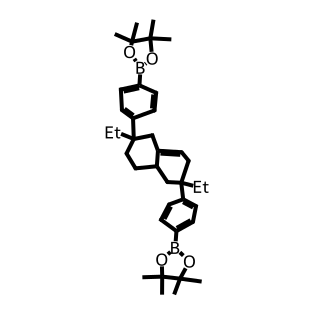 CCC1(c2ccc(B3OC(C)(C)C(C)(C)O3)cc2)CCC2CC(CC)(c3ccc(B4OC(C)(C)C(C)(C)O4)cc3)CC=C2C1